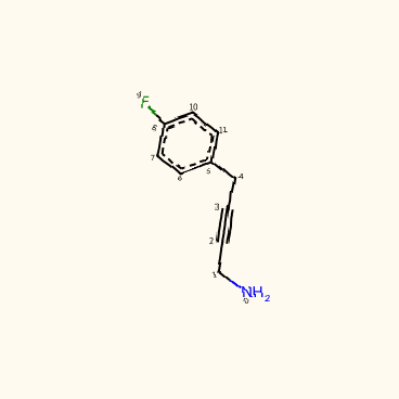 NCC#CCc1ccc(F)cc1